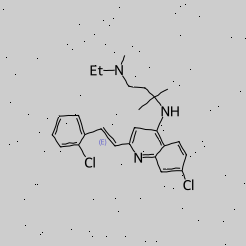 CCN(C)CCC(C)(C)Nc1cc(/C=C/c2ccccc2Cl)nc2cc(Cl)ccc12